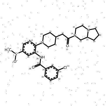 C[S+]([O-])c1cnc(N2CCC(CC(=O)N3CCN4CCCC4C3)CC2)c(NC(=O)c2cccc(Cl)c2)c1